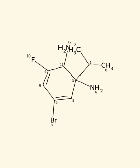 CC(C)C1(N)C=C(Br)C=C(F)C1N